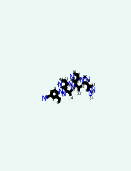 CCc1cc(C#N)ccc1-n1nc(C(C)C)c2c(-n3nc(C(C)C)c4c(-n5cnc(-c6cnn(C)c6)c5)ccnc43)ccnc21